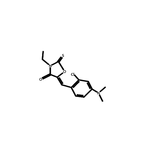 CCN1C(=O)C(=Cc2ccc(N(C)C)cc2Cl)OC1=S